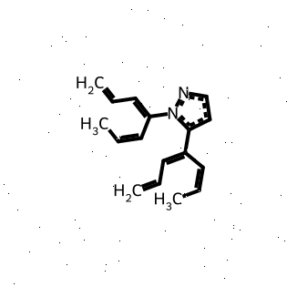 C=C/C=C(\C=C/C)c1ccnn1C(/C=C\C)=C/C=C